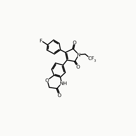 O=C1COc2ccc(C3=C(c4ccc(F)cc4)C(=O)N(CC(F)(F)F)C3=O)cc2N1